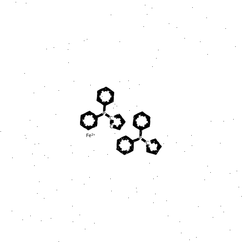 [Fe+2].[c-]1ccc[c-]1P(c1ccccc1)c1ccccc1.c1ccc(P(c2ccccc2)[c-]2cccc2)cc1